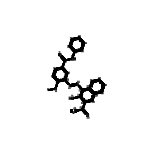 COc1ccc(C(=O)Nc2ccccc2)cc1/N=N/c1c(O)c(C(N)=O)cc2ccccc12